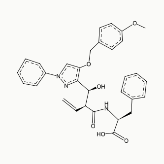 C=C[C@H](C(=O)N[C@@H](Cc1ccccc1)C(=O)O)[C@H](O)c1nn(-c2ccccc2)cc1OCc1ccc(OC)cc1